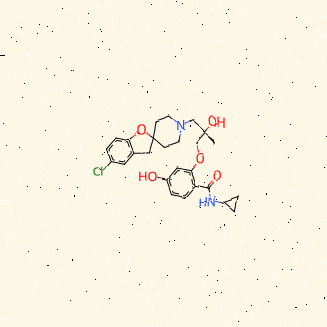 C[C@@](O)(COc1cc(O)ccc1C(=O)NC1CC1)CN1CCC2(CC1)Cc1cc(Cl)ccc1O2